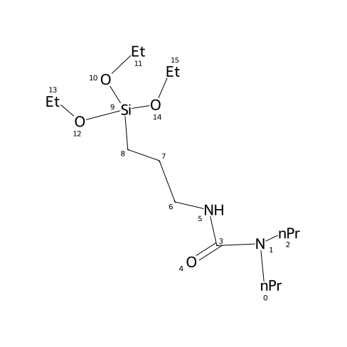 CCCN(CCC)C(=O)NCCC[Si](OCC)(OCC)OCC